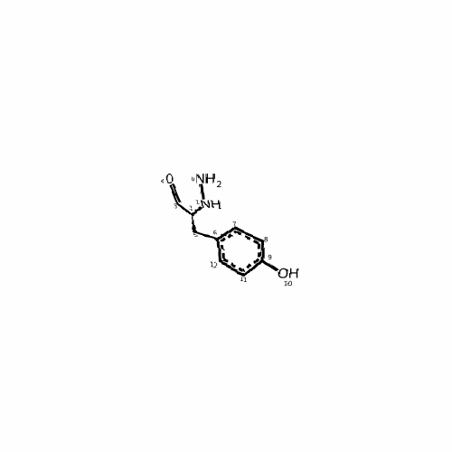 NN[C@H](C=O)Cc1ccc(O)cc1